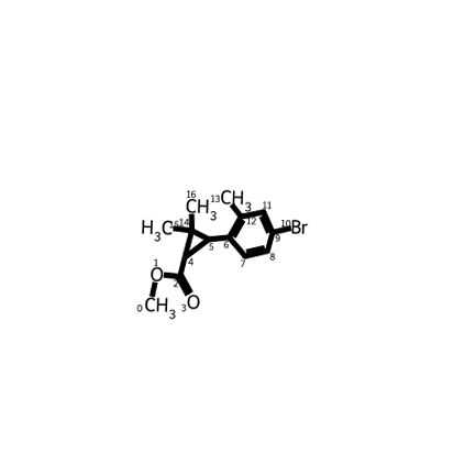 COC(=O)C1C(c2ccc(Br)cc2C)C1(C)C